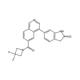 O=C1Cc2ccc(-c3cncc4ccc(C(=O)N5CC(F)(F)C5)cc34)cc2N1